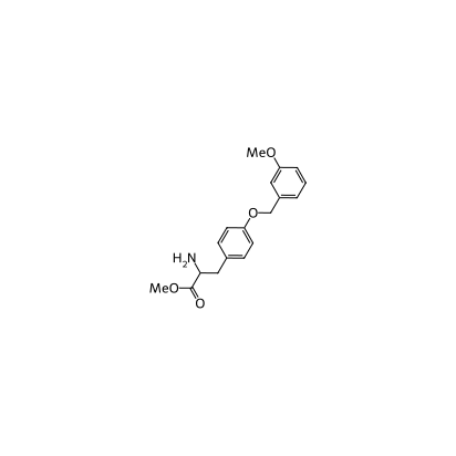 COC(=O)C(N)Cc1ccc(OCc2cccc(OC)c2)cc1